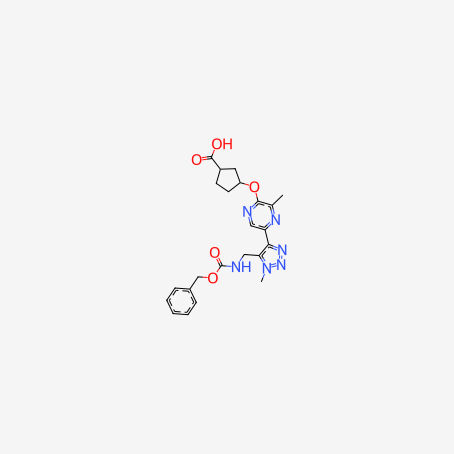 Cc1nc(-c2nnn(C)c2CNC(=O)OCc2ccccc2)cnc1OC1CCC(C(=O)O)C1